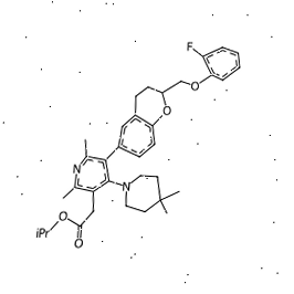 Cc1nc(C)c(-c2ccc3c(c2)CCC(COc2ccccc2F)O3)c(N2CCC(C)(C)CC2)c1CC(=O)OC(C)C